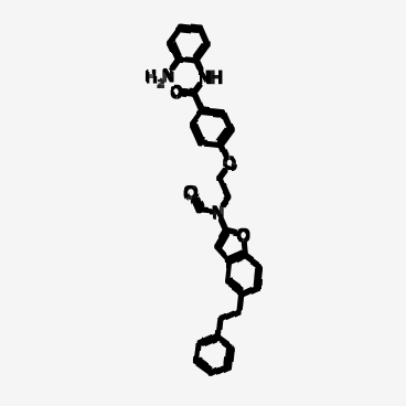 Nc1ccccc1NC(=O)c1ccc(OCCN(C=O)c2cc3cc(CCc4ccccc4)ccc3o2)cc1